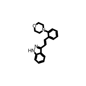 C(=C\c1n[nH]c2ccccc12)/c1ccccc1N1CCOCC1